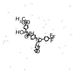 CCS(=O)(=O)c1ccc([C@H](CO)NC(=O)c2ccc(N3CC(c4ccc(C(F)(F)F)cc4)C[C@H]3CN3CCC4(CCO4)C3)cc2)cc1